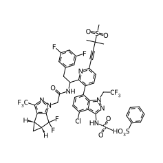 CC(C)(C#Cc1ccc(-c2ccc(Cl)c3c(NS(C)(=O)=O)nn(CC(F)(F)F)c23)c(C(Cc2cc(F)cc(F)c2)NC(=O)Cn2nc(C(F)(F)F)c3c2C(F)(F)[C@@H]2C[C@H]32)n1)S(C)(=O)=O.O=S(=O)(O)c1ccccc1